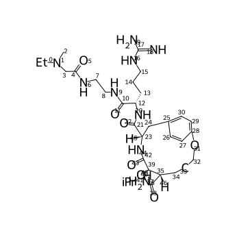 CCN(C)CC(=O)NCCNC(=O)[C@H](CCCNC(=N)N)NC(=O)[C@@H]1Cc2ccc(cc2)OCCC[C@H](C(N)=O)[C@@H](CC(C)C)C(=O)N1